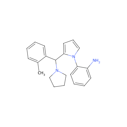 Cc1ccccc1C(c1cccn1-c1ccccc1N)N1CCCC1